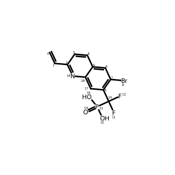 C=Cc1ccc2cc(Br)c(C(F)(F)P(=O)(O)O)cc2n1